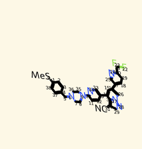 CSc1ccc(CN2CCN(c3ccc(-c4cc(C5=CCC(C(F)F)N=C5)cn5ncc(C#N)c45)cn3)CC2)cc1